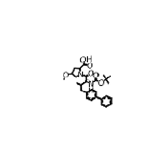 COC1CC(C(=O)O)N(C(=O)[C@@H](NC(=O)OC(C)(C)C)C(C)Cc2ccc(-c3ccccc3)cc2)C1